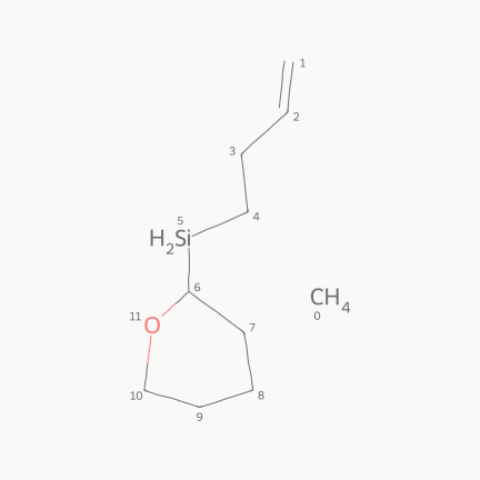 C.C=CCC[SiH2]C1CCCCO1